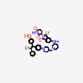 CCC(=C(c1ccc(O)cc1)c1ccc(N2CCC(CN3CCCC(Nc4ccc5c(c4)C(=O)N(C4CCC(=O)NC4=O)C5=O)C3)CC2)cc1)c1ccccc1